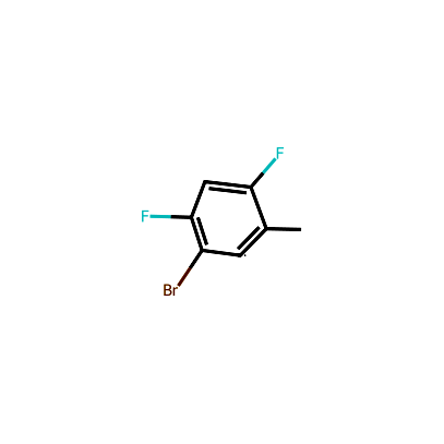 Cc1[c]c(Br)c(F)cc1F